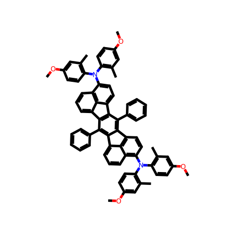 COc1ccc(N(c2ccc(OC)cc2C)c2ccc3c4c(-c5ccccc5)c5c6ccc(N(c7ccc(OC)cc7C)c7ccc(OC)cc7C)c7cccc(c5c(-c5ccccc5)c4c4cccc2c43)c76)c(C)c1